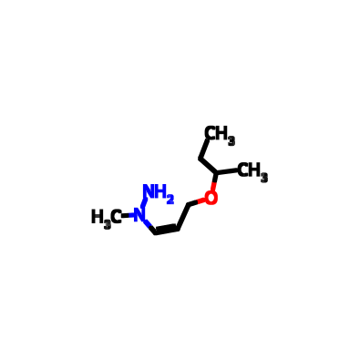 CCC(C)OC/C=C\N(C)N